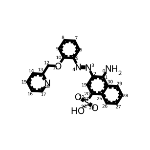 Nc1c(N=Nc2ccccc2OCc2ccccn2)cc(S(=O)(=O)O)c2ccccc12